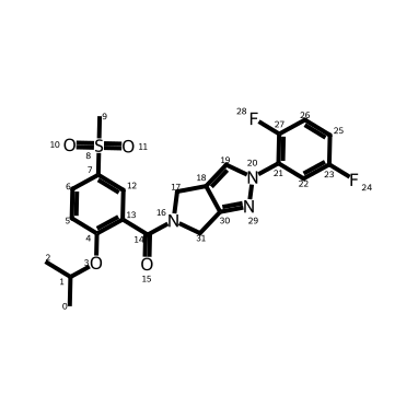 CC(C)Oc1ccc(S(C)(=O)=O)cc1C(=O)N1Cc2cn(-c3cc(F)ccc3F)nc2C1